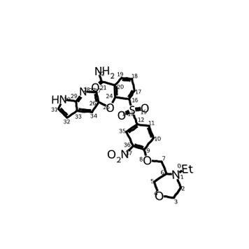 CCN1CCOCC1COc1ccc(S(=O)(=O)c2cccc(C(N)=O)c2Oc2cnc3[nH]ccc3c2)cc1[N+](=O)[O-]